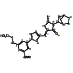 COc1cc(OCC(=O)O)cc(-c2ccc(/C=C3\SC(=S)N(C4CC5CCC4C5)C3=O)o2)c1